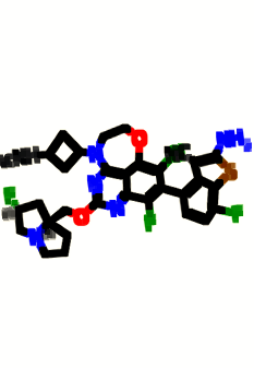 CC(=O)NC1CC(N2CCOc3c(Cl)c(-c4ccc(F)c5sc(N)c(C#N)c45)c(F)c4nc(OC[C@@]56CCCN5C[C@H](F)C6)nc2c34)C1